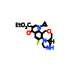 CCOC(=O)c1cn(C2CC2)c2c3c(c(F)cc2c1=O)N1CCNC[C@H]1CCOC3